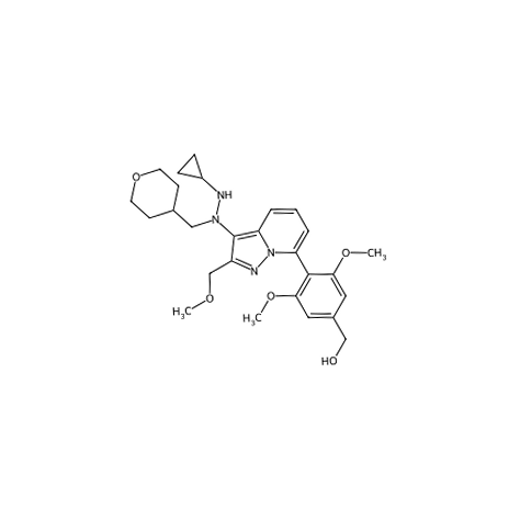 COCc1nn2c(-c3c(OC)cc(CO)cc3OC)cccc2c1N(CC1CCOCC1)NC1CC1